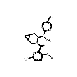 CCOc1ccc(C)nc1C(=O)N1CC2CC2CC1N(C)c1ncc(C(F)(F)F)cn1